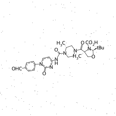 C[C@@H]1CN(C(=O)[C@]2(C)CO[C@H](C(C)(C)C)N2C(=O)O)CCN1C(=O)Nc1ccn(-c2ccc(C=O)cc2)c(=O)n1